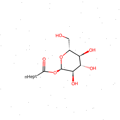 CCCCCCCC(=O)O[C@H]1O[C@H](CO)[C@@H](O)[C@H](O)[C@H]1O